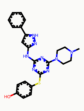 CN1CCN(c2nc(Nc3cc(-c4ccccc4)[nH]n3)nc(Sc3ccc(O)cc3)n2)CC1